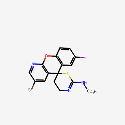 O=C(O)NC1=NCCC2(S1)c1cc(I)ccc1Oc1ncc(Br)cc12